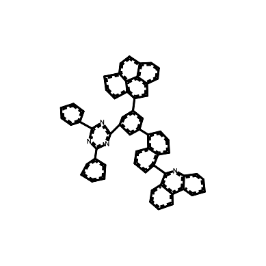 c1ccc(-c2nc(-c3ccccc3)nc(-c3cc(-c4cccc5c(-c6nc7ccccc7c7ccccc67)cccc45)cc(-c4cc5cccc6ccc7cccc4c7c65)c3)n2)cc1